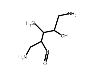 NCC(O)C([SiH3])C(CN)N=O